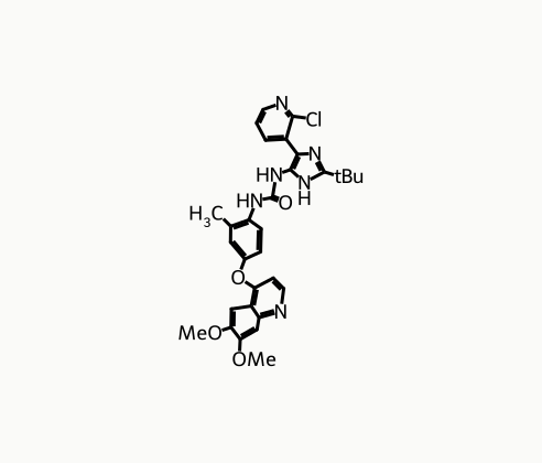 COc1cc2nccc(Oc3ccc(NC(=O)Nc4[nH]c(C(C)(C)C)nc4-c4cccnc4Cl)c(C)c3)c2cc1OC